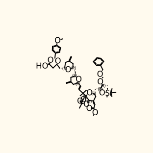 C=C1C[C@H](C[C@@H]2CC(=C)C[C@H](C=CC(C)(C)[C@]3(OC)O[C@H](C[C@@H](O[Si](C)(C)C(C)(C)C)[C@@H](C)OCOCc4ccccc4)CC(=CC(=O)OC)[C@@H]3OC(C)=O)O2)O[C@H](CC(CC(=O)O)OCc2ccc(OC)cc2)C1